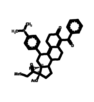 CSCC(=O)[C@@]1(OC(C)=O)CCC2C3CCC4=C(C(=O)c5ccccc5)C(=O)CCC4=C3C(c3ccc(N(C)C)cc3)C[C@@]21C